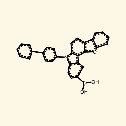 OB(O)c1ccc2c(c1)c1c3oc4ccccc4c3ccc1n2-c1ccc(-c2ccccc2)cc1